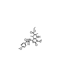 CCOC(=O)C1=C(C)Nc2c(c(NNC(=O)c3ccc(OC)cc3)nc(=O)n2C2CC2)C1C